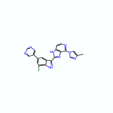 Cc1cn(-c2nccc3[nH]c(-c4n[nH]c5c(F)cc(-c6cncnc6)cc45)nc23)cn1